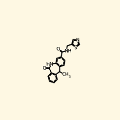 CC1c2ccc(C(=O)NCc3cncs3)cc2NC(=O)c2ccccc21